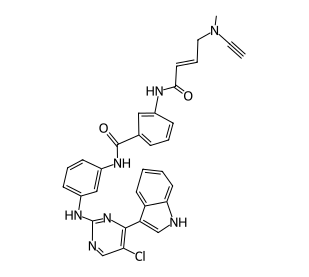 C#CN(C)C/C=C/C(=O)Nc1cccc(C(=O)Nc2cccc(Nc3ncc(Cl)c(-c4c[nH]c5ccccc45)n3)c2)c1